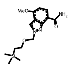 COc1ccc(C(N)=O)c2nn(COCC[Si](C)(C)C)cc12